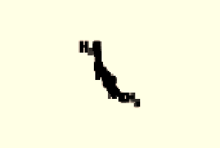 CCCCCCCCCCOc1ccc(-c2ccc(C(=O)OC3CCC(C#N)(CCCCCCC)CC3)cc2)c(F)c1